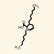 CCCCCCCC1CC=CN(CCCCCCC)C1C(=O)O